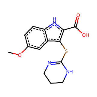 COc1ccc2[nH]c(C(=O)O)c(SC3=NCCCN3)c2c1